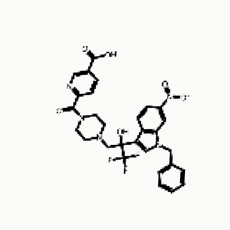 O=C(O)c1ccc(C(=O)N2CCN(CC(O)(c3cn(Cc4ccccc4)c4cc([N+](=O)[O-])ccc34)C(F)(F)F)CC2)nc1